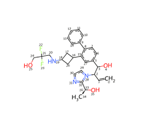 C=CC(C(O)c1ccc(-c2ccccc2)c(C2CC(NCC(F)(F)CO)C2)c1)n1ccnc1[C@H](C)O